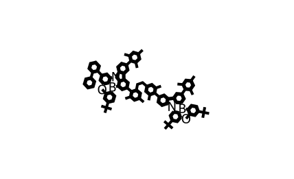 Cc1cc(C)c(-c2ccc3c(c2)c2cc(-c4c(C)cc(C)cc4CCc4cc(C)c(-c5ccc6c(c5)c5cc(-c7c(C)cc(C)cc7C)cc7c5n6-c5cc(C(C)(C)C)cc6c5B7c5ccc(C(C)(C)C)cc5O6)c(C)c4)cc4c2n3-c2cc(-c3ccccc3-c3ccccc3)cc3c2B4c2ccc(C(C)(C)C)cc2O3)c(C)c1